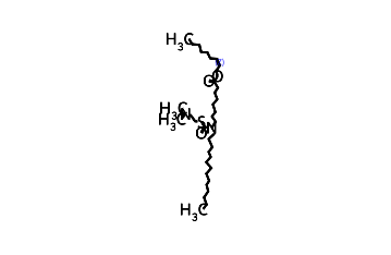 CCCCCC/C=C\COC(=O)CCCCCCCN(CCCCCCCCCCCCCC)C(=O)SCCN(C)C